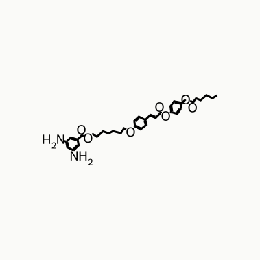 CCCCCC(=O)Oc1ccc(OC(=O)C=Cc2ccc(OCCCCCCCOC(=O)c3cc(N)cc(N)c3)cc2)cc1